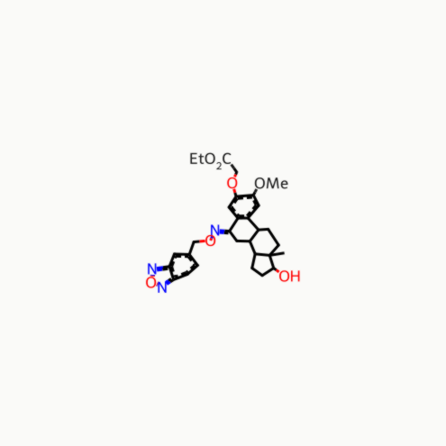 CCOC(=O)COc1cc2c(cc1OC)C1CCC3(C)C(O)CCC3C1C/C2=N\OCc1ccc2nonc2c1